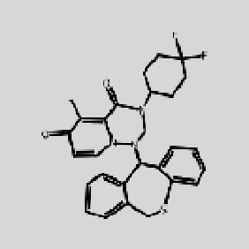 Cc1c2n(ccc1=O)N(C1c3ccccc3CSc3ccccc31)CN(C1CCC(F)(F)CC1)C2=O